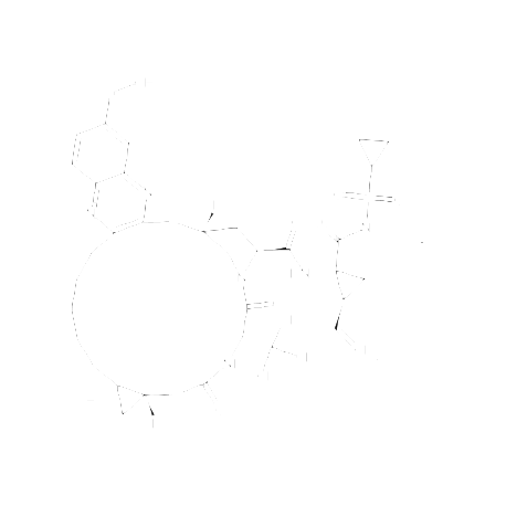 C=C[C@@H]1C[C@]1(NC(=O)[C@@H]1C[C@@H]2CN1C(=O)[C@H](C(C)(C)C)NC(=O)O[C@@H]1C[C@H]1CCCCCc1nc3ccc(OC)cc3nc1O2)C(=O)[N-]S(=O)(=O)C1CC1.[K+]